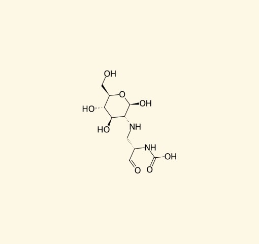 O=C[C@H](CN[C@@H]1[C@@H](O)[C@H](O)[C@@H](CO)O[C@H]1O)NC(=O)O